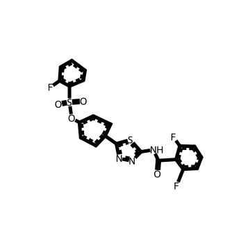 O=C(Nc1nnc(-c2ccc(OS(=O)(=O)c3ccccc3F)cc2)s1)c1c(F)cccc1F